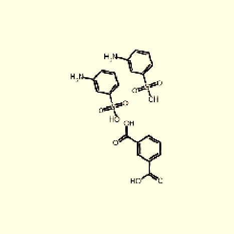 Nc1cccc(S(=O)(=O)O)c1.Nc1cccc(S(=O)(=O)O)c1.O=C(O)c1cccc(C(=O)O)c1